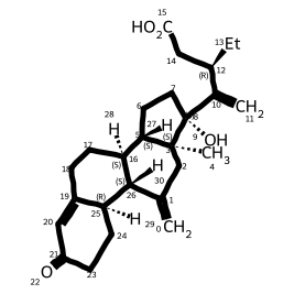 C=C1C[C@@]2(C)[C@@H](CC[C@@]2(O)C(=C)[C@H](CC)CC(=O)O)[C@@H]2CCC3=CC(=O)CC[C@@H]3[C@@H]12